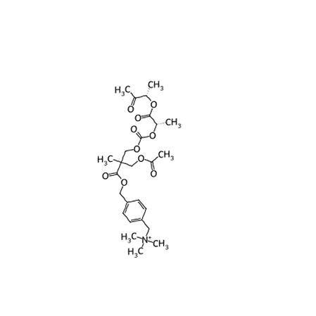 CC(=O)OCC(C)(COC(=O)O[C@@H](C)C(=O)O[C@@H](C)C(C)=O)C(=O)OCc1ccc(C[N+](C)(C)C)cc1